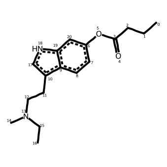 CCCC(=O)Oc1ccc2c(CCN(C)CC)c[nH]c2c1